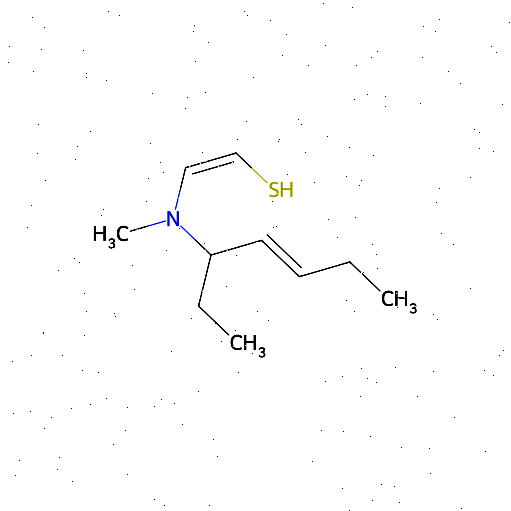 CCC=CC(CC)N(C)/C=C\S